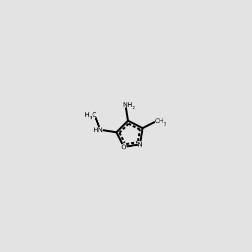 CNc1onc(C)c1N